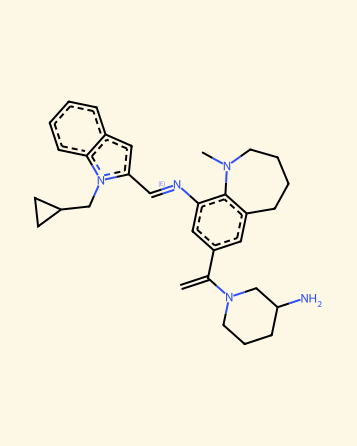 C=C(c1cc2c(c(/N=C/c3cc4ccccc4n3CC3CC3)c1)N(C)CCCC2)N1CCCC(N)C1